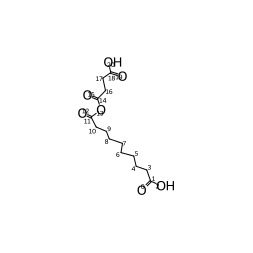 O=C(O)CCCCCCCCC(=O)OC(=O)CCC(=O)O